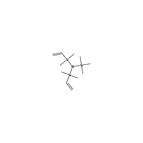 C=C[Si](C)(C)N([Si](C)(C)C)[Si](C)(C)C=C